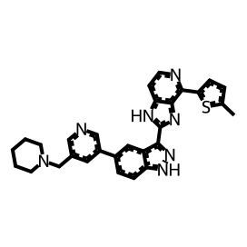 Cc1ccc(-c2nccc3[nH]c(-c4n[nH]c5ccc(-c6cncc(CN7CCCCC7)c6)cc45)nc23)s1